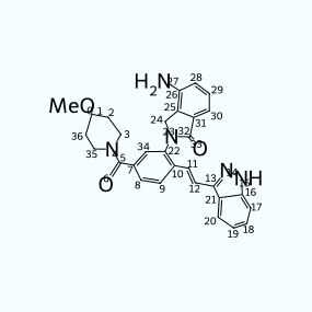 COC1CCN(C(=O)c2ccc(C=Cc3n[nH]c4ccccc34)c(N3Cc4c(N)cccc4C3=O)c2)CC1